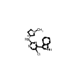 CN1CC[C@@H](Nc2ncc(Cl)c(-c3c[nH]c4ccccc34)n2)C1